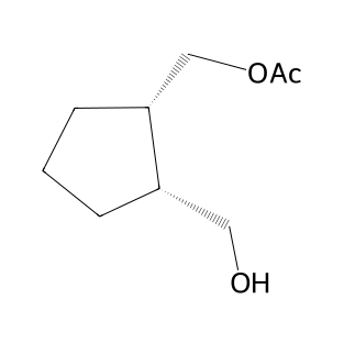 CC(=O)OC[C@H]1CCC[C@H]1CO